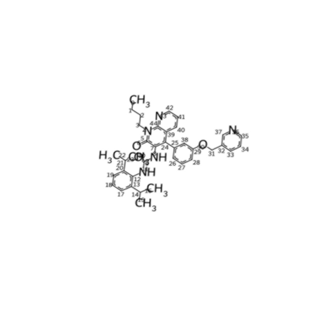 CCCCn1c(=O)c(NC(=O)Nc2c(C(C)C)cccc2C(C)C)c(-c2cccc(OCc3cccnc3)c2)c2cccnc21